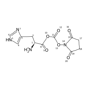 N[C@@H](Cc1c[nH]cn1)C(=O)OC(=O)ON1C(=O)CCC1=O